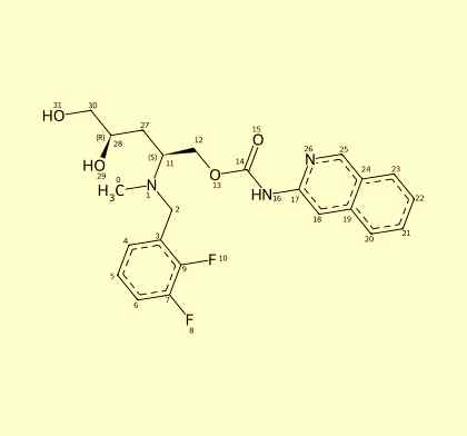 CN(Cc1cccc(F)c1F)[C@H](COC(=O)Nc1cc2ccccc2cn1)C[C@@H](O)CO